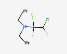 CC(C)CN(CC(C)C)C(F)(F)C(F)Cl